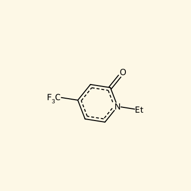 CCn1ccc(C(F)(F)F)cc1=O